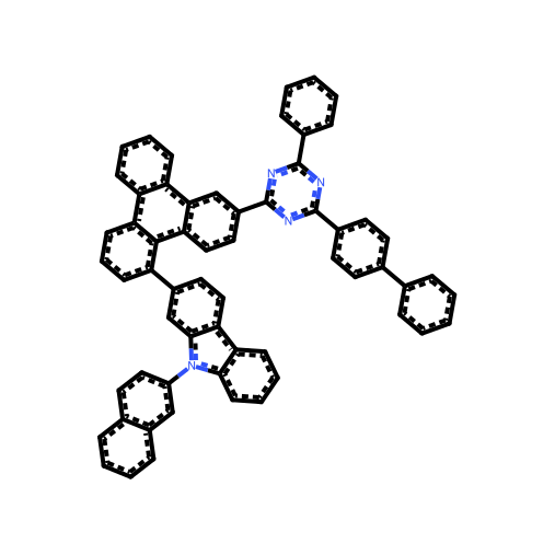 c1ccc(-c2ccc(-c3nc(-c4ccccc4)nc(-c4ccc5c(c4)c4ccccc4c4cccc(-c6ccc7c8ccccc8n(-c8ccc9ccccc9c8)c7c6)c45)n3)cc2)cc1